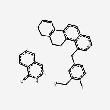 NCc1cc(Cc2cccc3ccc4c(c23)CCC2=C4C=CCC2)ccc1F.O=c1[nH]ncc2ccccc12